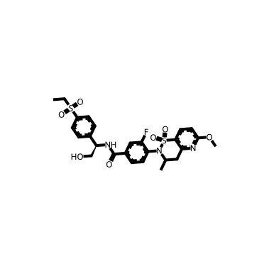 CCS(=O)(=O)c1ccc([C@H](CO)NC(=O)c2ccc(N3C(C)Cc4nc(OC)ccc4S3(=O)=O)c(F)c2)cc1